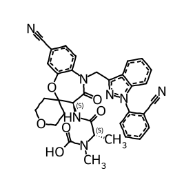 C[C@@H](C(=O)N[C@@H]1C(=O)N(Cc2nn(-c3ccccc3C#N)c3ccccc23)c2ccc(C#N)cc2OC12CCOCC2)N(C)C(=O)O